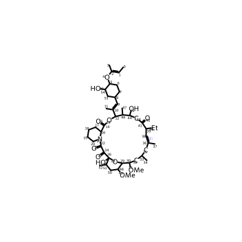 CC=C(C)OC1CCC(C=C(C)C2OC(=O)C3CCCCN3C(=O)C(=O)C3(O)OC(C(OC)CC(C)C/C(C)=C/C(CC)C(=O)CC(O)C2C)C(OC)CC3C)CC1O